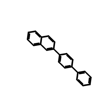 [c]1cccc(-c2ccc(-c3ccc4ccccc4c3)cc2)c1